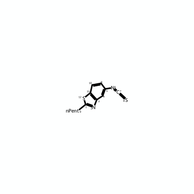 CCCCCc1nc2cc(N=C=S)ccc2s1